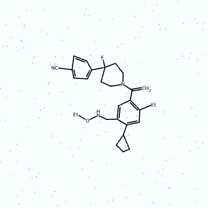 C=C(c1cc(CNOCC)c(C2CCC2)cc1CC)N1CCC(F)(c2ccc(C#N)cc2)CC1